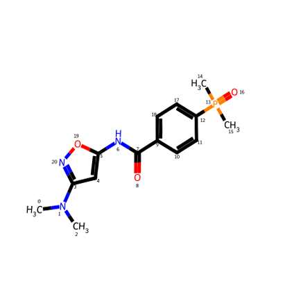 CN(C)c1cc(NC(=O)c2ccc(P(C)(C)=O)cc2)on1